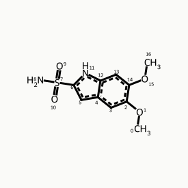 COc1cc2cc(S(N)(=O)=O)[nH]c2cc1OC